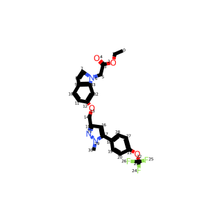 CCOC(=O)Cn1ccc2ccc(OCc3cc(-c4ccc(OC(F)(F)F)cc4)n(C)n3)cc21